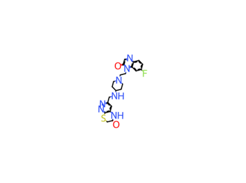 O=C1CSc2nnc(CNC3CCN(CCn4c(=O)cnc5ccc(F)cc54)CC3)cc2N1